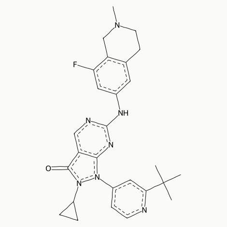 CN1CCc2cc(Nc3ncc4c(=O)n(C5CC5)n(-c5ccnc(C(C)(C)C)c5)c4n3)cc(F)c2C1